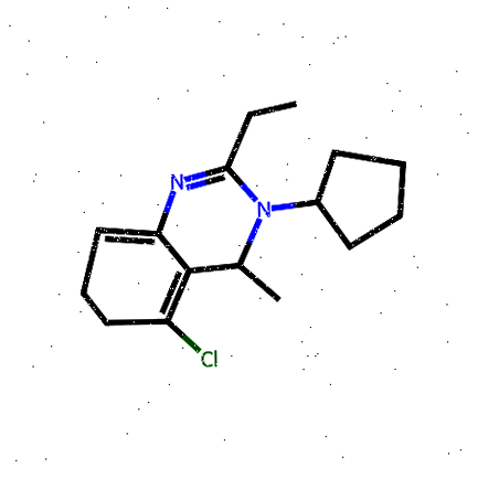 CCC1=NC2=CCCC(Cl)=C2C(C)N1C1CCCC1